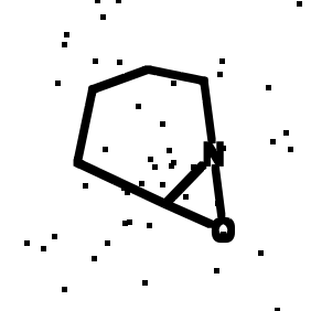 C1CCN2OC2C1